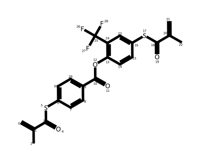 C=C(C)C(=O)Sc1ccc(C(=O)Oc2ccc(SC(=O)C(=C)C)cc2C(F)(F)F)cc1